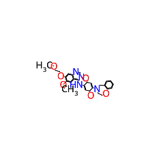 COCCOc1cc2ncnc(NC3=CC(=O)C(N4CCOc5ccccc5C4)=CC3=O)c2cc1OC